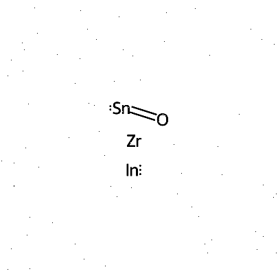 [In].[O]=[Sn].[Zr]